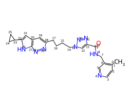 Cc1ccncc1CNC(=O)c1cn(CCCCc2cc3cc(C4CC4)[nH]c3nn2)nn1